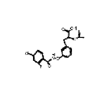 CC(C)OC(Cc1cccc(ONC(=O)c2ccc(Cl)cc2F)c1)C(=O)O